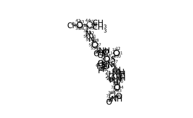 [2H]C1([2H])N(CC[C@H](CSc2ccccc2)Nc2ccc(S(=O)(=O)NC(=O)c3ccc(N4CCN(CC5=C(c6ccc(Cl)cc6)CCC(C)(C)C5)CC4)cc3)cc2S(=O)(=O)C(F)(F)F)C([2H])([2H])C([2H])([2H])N(Cc2ccc(C3CCC(=O)NC3=O)cc2)C1([2H])[2H]